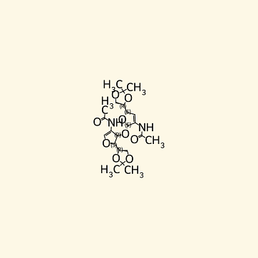 CC(=O)NC1=C[C@@H]([C@H]2COC(C)(C)O2)O[C@H]1O[C@@H]1C(NC(C)=O)=CO[C@@H]1[C@H]1COC(C)(C)O1